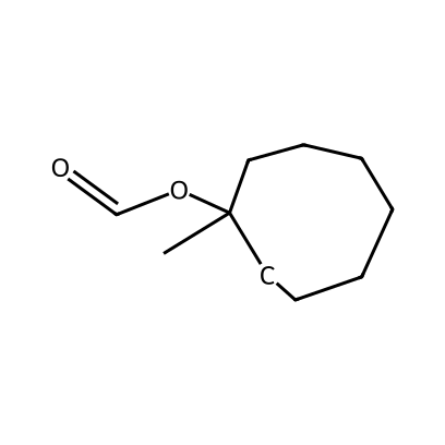 CC1(OC=O)CCCCCCC1